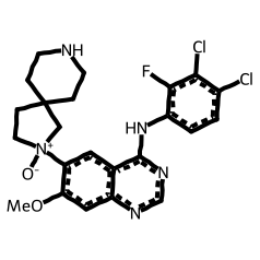 COc1cc2ncnc(Nc3ccc(Cl)c(Cl)c3F)c2cc1[N+]1([O-])CCC2(CCNCC2)C1